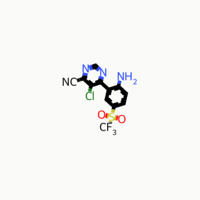 N#Cc1ncnc(-c2cc(S(=O)(=O)C(F)(F)F)ccc2N)c1Cl